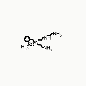 COc1ccccc1CC(=O)N(CCCN)CCCNCCCN